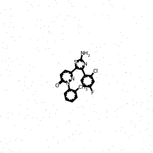 Cc1ccccc1-n1nc(-c2sc(N)nc2-c2ccc(F)cc2Cl)ccc1=O